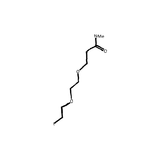 CNC(=O)CCOCCOCCI